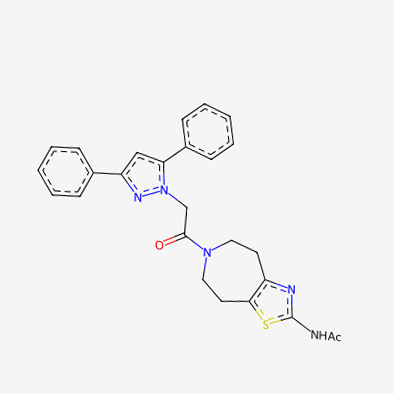 CC(=O)Nc1nc2c(s1)CCN(C(=O)Cn1nc(-c3ccccc3)cc1-c1ccccc1)CC2